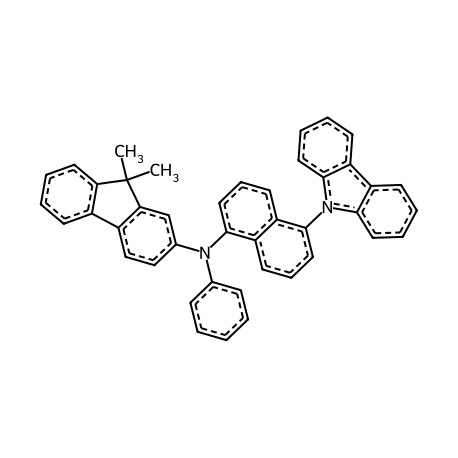 CC1(C)c2ccccc2-c2ccc(N(c3ccccc3)c3cccc4c(-n5c6ccccc6c6ccccc65)cccc34)cc21